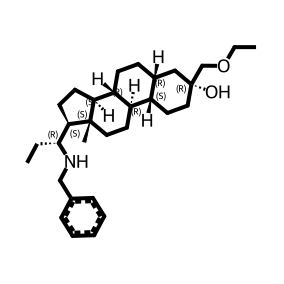 CCOC[C@@]1(O)CC[C@H]2[C@H](CC[C@@H]3[C@@H]2CC[C@]2(C)[C@@H]([C@@H](CC)NCc4ccccc4)CC[C@@H]32)C1